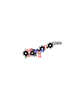 COc1ccc(COc2ccc(C(O)CN3C[C@@H]4C[C@@H](Oc5ccccc5F)C[C@]4(O)C3)nc2)cc1